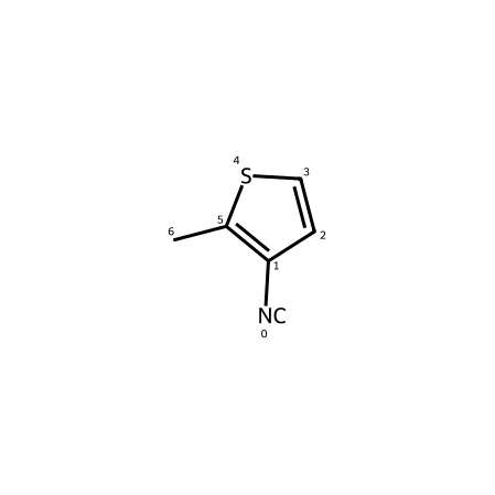 [C-]#[N+]c1ccsc1C